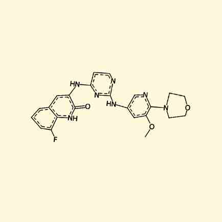 COc1cc(Nc2nccc(Nc3cc4cccc(F)c4[nH]c3=O)n2)cnc1N1CCOCC1